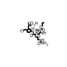 C=CCOC(=O)N[C@H](C(=O)N[C@@H](CCCNC(N)=O)C(=O)Nc1ccc(CCl)c(CN(C)C(=O)O)c1)C(C)C